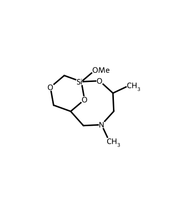 CO[Si]12COCC(CN(C)CC(C)O1)O2